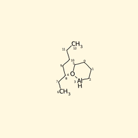 C1C[CH2][AlH][O]C1.CCCCCCC